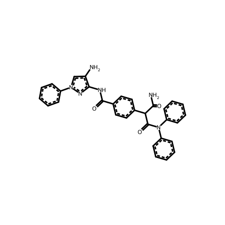 NC(=O)C(C(=O)N(c1ccccc1)c1ccccc1)c1ccc(C(=O)Nc2nn(-c3ccccc3)cc2N)cc1